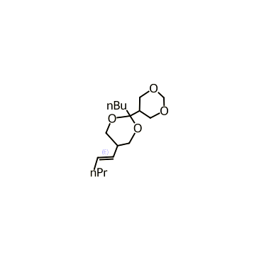 CCC/C=C/C1COC(CCCC)(C2COCOC2)OC1